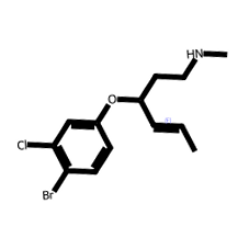 C/C=C/C(CCNC)Oc1ccc(Br)c(Cl)c1